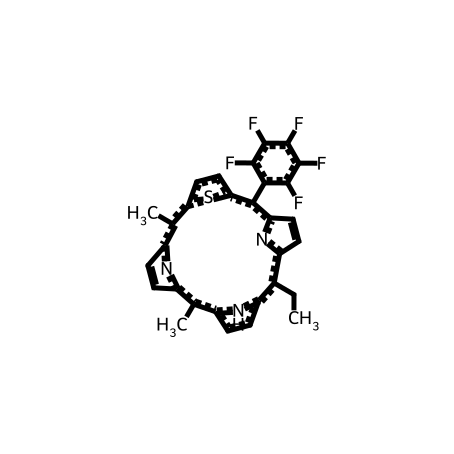 CCc1c2nc(c(-c3c(F)c(F)c(F)c(F)c3F)c3ccc(s3)c(C)c3nc(c(C)c4ccc1[nH]4)C=C3)C=C2